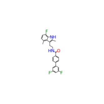 Cc1[nH]c2c(F)ccc(C)c2c1CCNC(=O)c1ccc(-c2cc(F)cc(F)c2)cc1